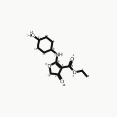 CCOC(=O)C1=C(NC2CCC(O)CC2)OCC1=O